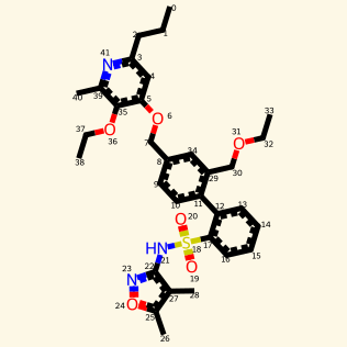 CCCc1cc(OCc2ccc(-c3ccccc3S(=O)(=O)Nc3noc(C)c3C)c(COCC)c2)c(OCC)c(C)n1